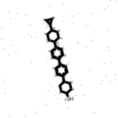 SC1CCC(c2ccc(-c3ccc(C4CCC(C5CC5)CC4)cc3)cc2)CC1